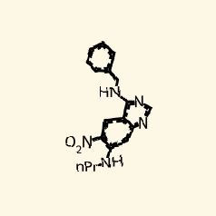 CCCNc1cc2ncnc(NCc3ccccc3)c2cc1[N+](=O)[O-]